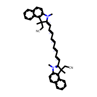 CN1/C(=C/C=C/C=C/C=C/C=C/C2=[N+](C)c3ccc4ccccc4c3C2(C)CC#N)C(C)(CC#N)c2c1ccc1ccccc21